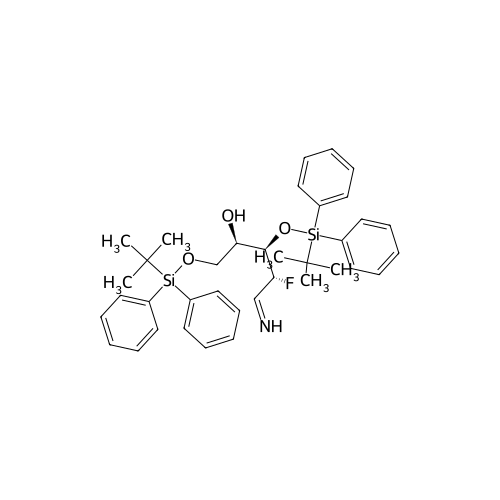 CC(C)(C)[Si](OC[C@@H](O)[C@@H](O[Si](c1ccccc1)(c1ccccc1)C(C)(C)C)[C@H](F)C=N)(c1ccccc1)c1ccccc1